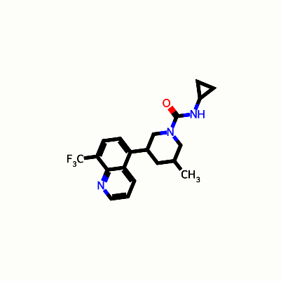 CC1CC(c2ccc(C(F)(F)F)c3ncccc23)CN(C(=O)NC2CC2)C1